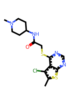 Cc1sc2ncnc(SCC(=O)NC3CCN(C)CC3)c2c1Cl